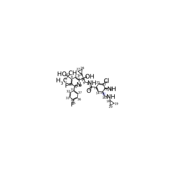 CC(C)(O)c1cc([C@@](O)(CNC(=O)C2=C/C(=C/NC3CC3)C(=N)C(Cl)=C2)C2CC2)nc(-c2ccc(F)cc2)c1F